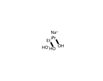 CC(C)O.CCO.[Na+].[OH-]